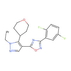 CC(C)Cn1ncc(-c2nc(-c3cc(F)ccc3F)no2)c1C1CCOCC1